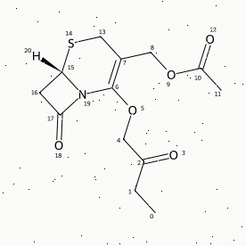 CCC(=O)COC1=C(COC(C)=O)CS[C@H]2CC(=O)N12